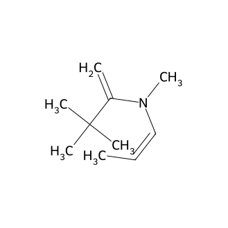 C=C(N(C)/C=C\C)C(C)(C)C